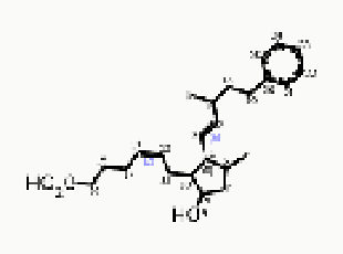 CC(/C=C/[C@H]1C(C)CC(O)C1C/C=C\CCCC(=O)O)CCc1ccccc1